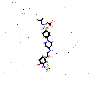 CC(C)CN(CC(=O)O)S(=O)(=O)c1ccc(N2CCC(NC[C@H](O)c3ccc(O)c(NS(C)(=O)=O)c3)CC2)cc1